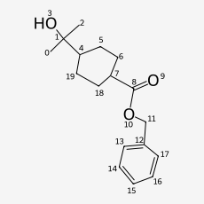 CC(C)(O)C1CCC(C(=O)OCc2ccccc2)CC1